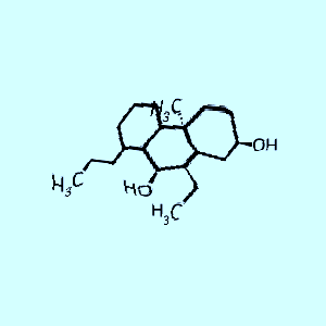 CCCC1CCCC2C1[C@H](O)[C@H](CC)C1C[C@H](O)CC[C@]21C